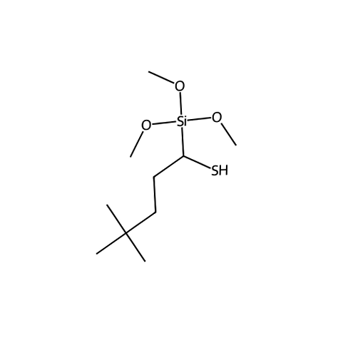 CO[Si](OC)(OC)C(S)CCC(C)(C)C